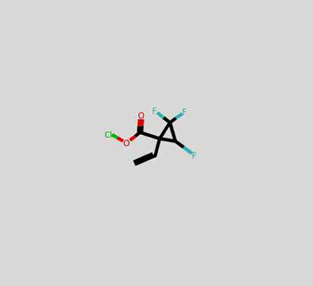 C=CC1(C(=O)OCl)C(F)C1(F)F